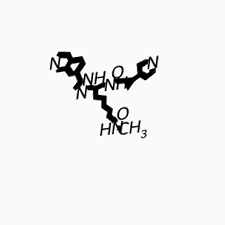 CNC(=O)CCCCCC(CNC(=O)C1CC1c1ccncc1)c1ncc(-c2ccc3ccncc3c2)[nH]1